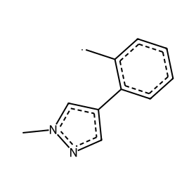 [CH2]c1ccccc1-c1cnn(C)c1